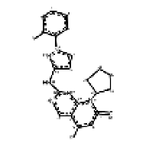 Cc1ccccc1-n1ccc(Nc2ncc3c(C)cc(=O)n(C4CCCC4)c3n2)n1